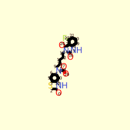 O=C1CSc2ccc(N3CC(CCCn4c(=O)[nH]c5cccc(F)c5c4=O)OC3=O)cc2N1